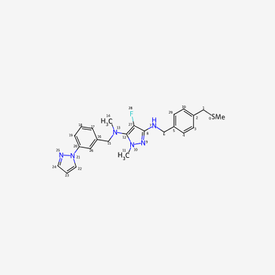 CSCc1ccc(CNc2nn(C)c(N(C)Cc3cccc(-n4cccn4)c3)c2F)cc1